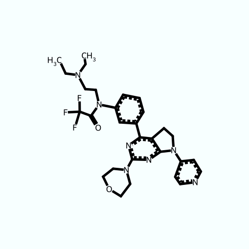 CCN(CC)CCN(C(=O)C(F)(F)F)c1cccc(-c2nc(N3CCOCC3)nc3c2CCN3c2ccncc2)c1